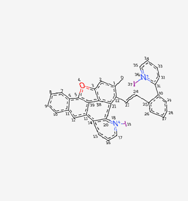 Cc1cc2oc3c4ccccc4cc4c5ccc[n+](I)c5c(c1/C=C/c1ccccc1-c1cccc[n+]1I)c2c43